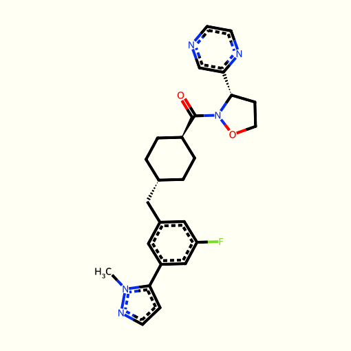 Cn1nccc1-c1cc(F)cc(C[C@H]2CC[C@H](C(=O)N3OCC[C@H]3c3cnccn3)CC2)c1